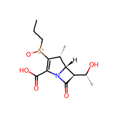 CCC[S+]([O-])C1=C(C(=O)O)N2C(=O)[C@H]([C@@H](C)O)[C@H]2[C@H]1C